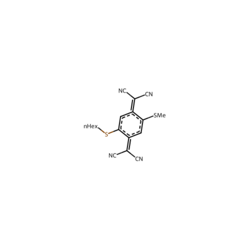 CCCCCCSc1cc(=C(C#N)C#N)c(SC)cc1=C(C#N)C#N